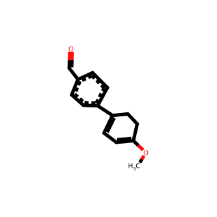 COC1=CC=C(c2ccc(C=O)cc2)CC1